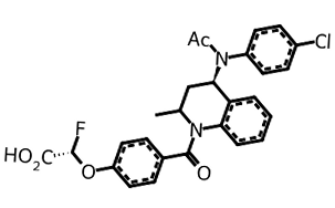 CC(=O)N(c1ccc(Cl)cc1)[C@@H]1CC(C)N(C(=O)c2ccc(O[C@@H](F)C(=O)O)cc2)c2ccccc21